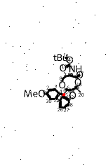 COc1ccc(C[C@H]2OCC[C@H](NC(=O)OC(C)(C)C)C(=O)O[C@@H](C)[C@@H]2Oc2ccccc2)cc1